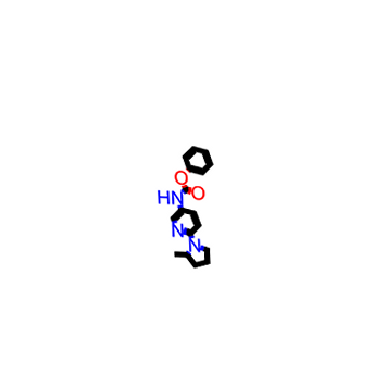 CC1CCCN1c1ccc(NC(=O)Oc2ccccc2)cn1